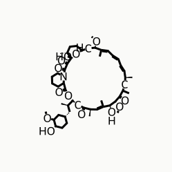 COC1C[C@H](C[C@@H](C)[C@@H]2CC(=O)[C@H](C)/C=C(\C)[C@@H](O)C(OC)C(=O)C(C)C[C@H](C)/C=C/C=C/C=C(\C)[C@@H](OC)C[C@@H]3CC[C@@H](C)C(O)(O3)C(=O)C(=O)N3CCCCC3C(=O)O2)CC[C@H]1O